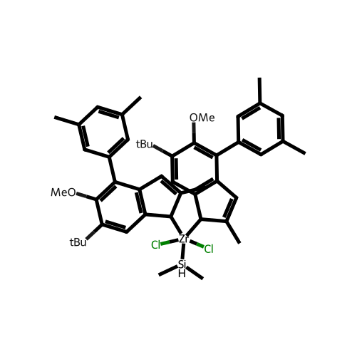 COc1c(C(C)(C)C)cc2c(c1-c1cc(C)cc(C)c1)C=C(C)[CH]2[Zr]([Cl])([Cl])([CH]1C(C)=Cc2c1cc(C(C)(C)C)c(OC)c2-c1cc(C)cc(C)c1)[SiH](C)C